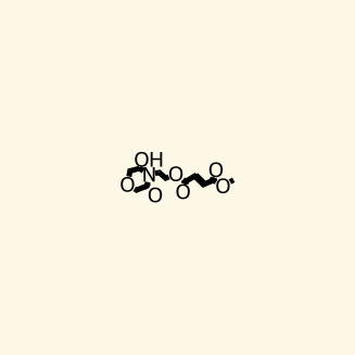 COC(=O)/C=C/C(=O)OCCN1C(=O)COCC1O